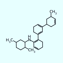 CC1C=CCC(C2=CCCC(C3=C(NC4CC(C)CCC4C)C=CCC3)=C2)C1